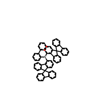 c1ccc(-c2ccccc2N(c2cccc3c2-c2ccccc2C32c3ccccc3-c3ccccc32)c2cccc3c2-c2ccccc2C32c3ccccc3-c3ccccc32)cc1